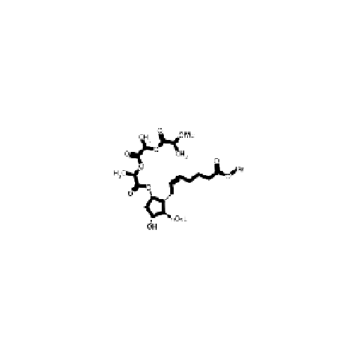 CCCCCCCC[C@@H]1[C@@H](C/C=C\CCCC(=O)OC(C)C)[C@@H](OC(=O)C(C)OC(=O)C(C)OC(=O)C(C)OC)C[C@H]1O